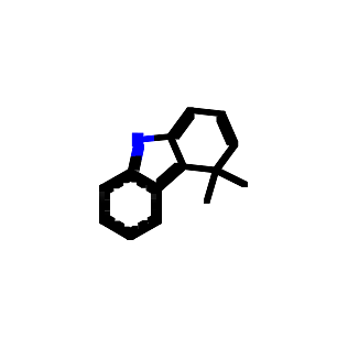 CC1(C)C=CC=C2N=c3ccccc3=C21